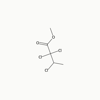 COC(=O)C(Cl)(Cl)C(C)Cl